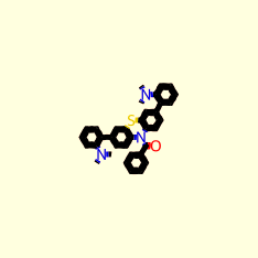 CN(C)c1ccccc1-c1ccc2c(c1)Sc1cc(-c3ccccc3N(C)C)ccc1N2C(=O)c1ccccc1